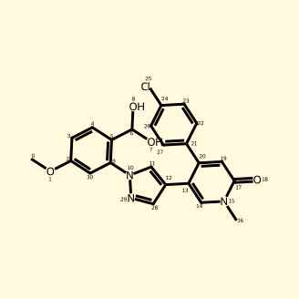 COc1ccc(C(O)O)c(-n2cc(-c3cn(C)c(=O)cc3-c3ccc(Cl)cc3)cn2)c1